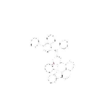 c1ccc(-c2ccc(N(c3ccccc3)c3ccc4c(c3)-c3cccc5ccc6c(c35)C4(c3ccccc3)c3ccccc3-6)c3ccccc23)cc1